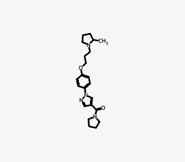 CC1CCCN1CCCOc1ccc(-n2cc(C(=O)N3CCCC3)cn2)cc1